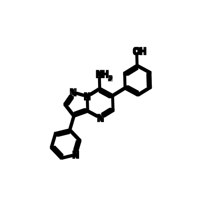 Nc1c(-c2cccc(O)c2)cnc2c(-c3cccnc3)cnn12